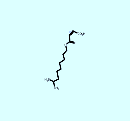 BC(B)CCCCCCCOC(=O)/C=C\C(=O)O